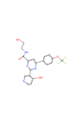 O=C(NCCO)c1cc(-c2ccc(OC(F)(F)F)cc2)nc(-c2cnccc2O)n1